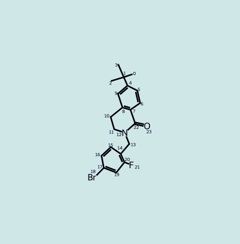 CC(C)(C)c1ccc2c(c1)CCN(Cc1ccc(Br)cc1F)C2=O